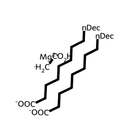 CCCCCCCCCCCCCCCCCC(=O)[O-].CCCCCCCCCCCCCCCCCC(=O)[O-].[CH2]C(=O)O.[Mg+2]